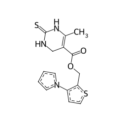 CC1=C(C(=O)OCc2sccc2-n2cccc2)CNC(=S)N1